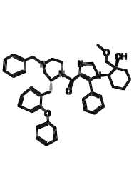 COC[C@]1(O)CCCC[C@H]1n1cnc(C(=O)N2CCN(Cc3ccccc3)C[C@H]2Cc2ccccc2Oc2ccccc2)c1-c1ccccc1